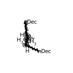 CCCCCCCCCCCCCCCCCCNC(=O)OCC(C)(C)C(OC(=O)NCCCCCCCCCCCCCCCCCC)C(C)C